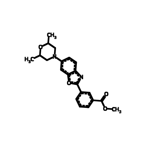 COC(=O)c1cccc(-c2nc3ccc(N4CC(C)OC(C)C4)cc3o2)c1